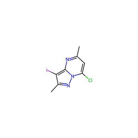 Cc1cc(Cl)n2nc(C)c(I)c2n1